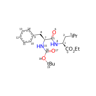 CCOC(=O)[C@H](CC(C)C)NC(=O)[C@H](Cc1ccccc1)NC(=O)OC(C)(C)C